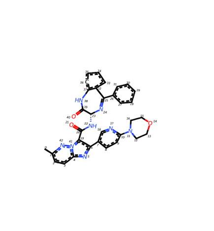 Cc1ccc2nc(-c3ccc(N4CCOCC4)nc3)c(C(=O)N[C@H]3N=C(c4ccccc4)c4ccccc4NC3=O)n2n1